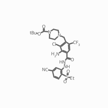 CCS(=O)(=O)c1ccc(C#N)cc1NNC(=O)c1cc(C(F)(F)F)c(CN2CCN(C(=O)OC(C)(C)C)CC2)c(Cl)c1N